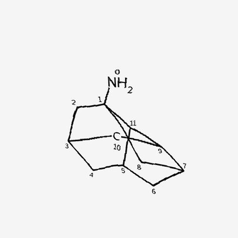 NC12CC3CC4CC(C1)C(C3)C42